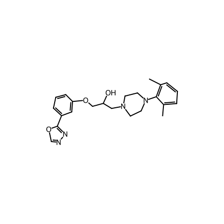 Cc1cccc(C)c1N1CCN(CC(O)COc2cccc(-c3nnco3)c2)CC1